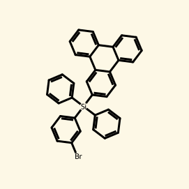 Brc1cccc([Si](c2ccccc2)(c2ccccc2)c2ccc3c4ccccc4c4ccccc4c3c2)c1